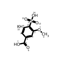 COc1cc(C(=O)O)ccc1S(=O)(=O)O.[KH]